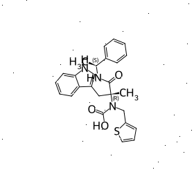 C[C@H](NC(=O)[C@@](C)(Cc1c[nH]c2ccccc12)N(Cc1cccs1)C(=O)O)c1ccccc1